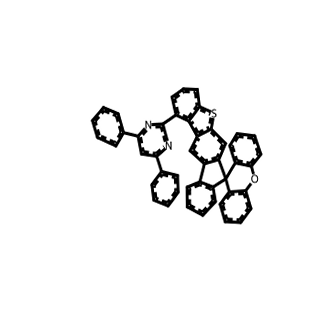 c1ccc(-c2cc(-c3ccccc3)nc(-c3cccc4sc5cc6c(cc5c34)-c3ccccc3C63c4ccccc4Oc4ccccc43)n2)cc1